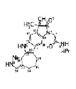 CC(C)NC(=O)CN1C(=O)C(C)(C)c2cc3[nH]c4c(c3cc21)CCCc1c[nH]nc1-4